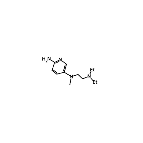 CCN(CC)CCN(C)c1ccc(N)nc1